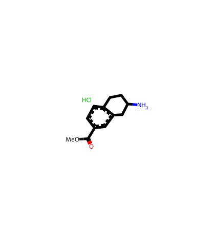 COC(=O)c1ccc2c(c1)CC(N)CC2.Cl